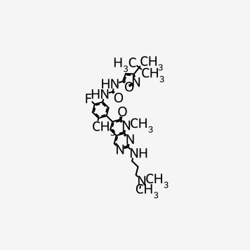 Cc1cc(F)c(NC(=O)Nc2cc(C(C)(C)C)no2)cc1-c1cc2cnc(NCCCN(C)C)nc2n(C)c1=O